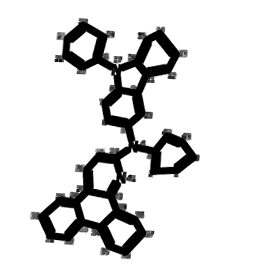 c1ccc(N(c2ccc3c(c2)c2ccccc2n3-c2ccccc2)c2ccc3c4ccccc4c4ccccc4c3n2)cc1